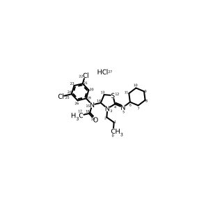 CCCN1C(=NC2CCCCC2)SCC1N(C(C)=O)c1cc(Cl)cc(Cl)c1.Cl